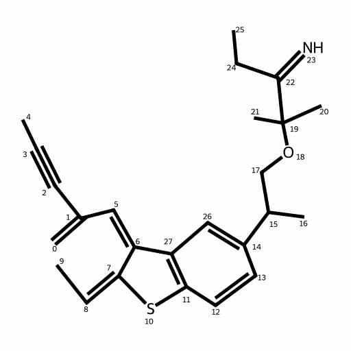 C=C(C#CC)/C=c1\c(=C/C)sc2ccc(C(C)COC(C)(C)C(=N)CC)cc12